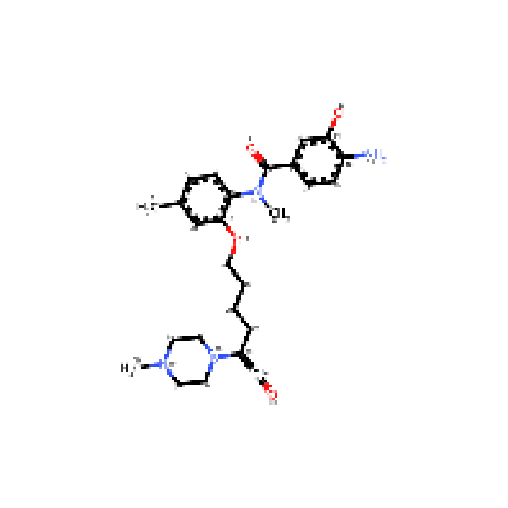 Cc1ccc(N(C)C(=O)c2ccc(N)c(O)c2)c(OCCCCC(=C=O)N2CCN(C)CC2)c1